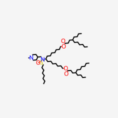 CCCCCCCC[S+]([O-])N(CC1CCN(C)CC1)C(CCCCCCCOC(=O)CCC(CCCC)CCCCCC)CCCCCCCOC(=O)CCC(CCCC)CCCCCC